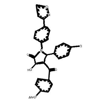 COc1ccc(C(=O)C2=C(O)C(=O)N(c3ccc(-c4ccon4)cc3)C2c2ccc(Cl)cc2)cc1